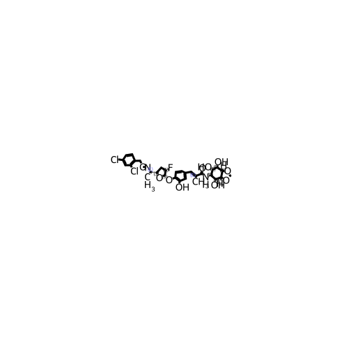 C/C(=C\c1ccc(O[C@@H]2O[C@H](/C(C)=N/OCc3ccc(Cl)cc3Cl)C[C@@H]2F)c(O)c1)C(=O)N[C@@H]1[C@H](O)[C@@H](O)[C@H]2OCO[C@H]2[C@@H]1O